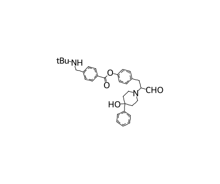 CC(C)(C)NCc1ccc(C(=O)Oc2ccc(CC(C=O)N3CCC(O)(c4ccccc4)CC3)cc2)cc1